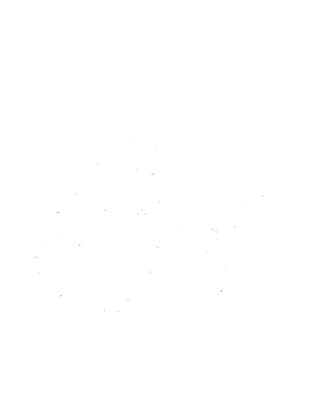 c1ccc(N(c2ccccc2)c2cccc(N(c3cccc4c3-c3ccccc3C43c4ccccc4Sc4ccccc43)c3cccc4c3oc3ccccc34)c2)cc1